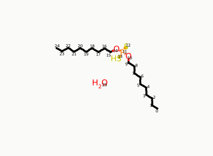 CCCCCCCCCCOP(=S)(S)OCCCCCCCCCC.O